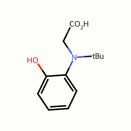 CC(C)(C)N(CC(=O)O)c1ccccc1O